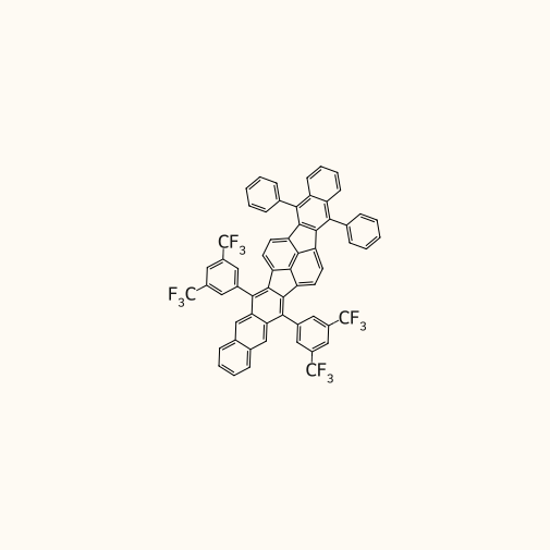 FC(F)(F)c1cc(-c2c3c(c(-c4cc(C(F)(F)F)cc(C(F)(F)F)c4)c4cc5ccccc5cc24)-c2ccc4c5c(ccc-3c25)-c2c-4c(-c3ccccc3)c3ccccc3c2-c2ccccc2)cc(C(F)(F)F)c1